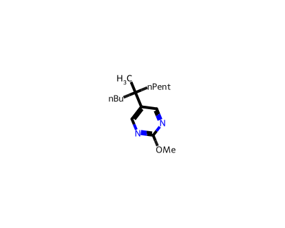 CCCCCC(C)(CCCC)c1cnc(OC)nc1